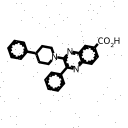 O=C(O)c1ccc2nc(-c3ccccc3)c(N3CCC(c4ccccc4)CC3)nc2c1